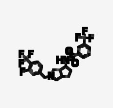 O=S(=O)(NC1CCC2CN(Cc3ccc(C(F)(F)F)c(F)c3)CC21)c1cccc(C(F)(F)F)c1